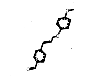 COc1ccc(OC/C=C/c2ccc(C=O)cc2)cc1